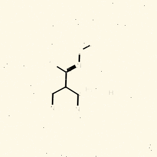 CCO/N=C(\C)C(CN)CN.Cl.Cl